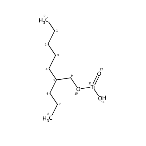 CCCCCC(CCC)C[O][Ti](=[O])[OH]